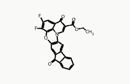 CCOC(=O)c1cn2c3cc4c(cc3oc3c(F)c(F)cc(c1=O)c32)c(=O)c1ccccc14